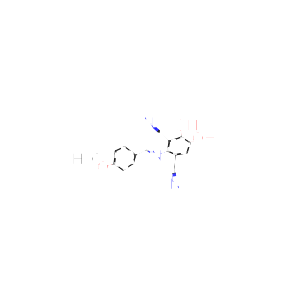 COc1ccc(C=Nc2c(C#N)cc(O)c(O)c2C#N)cc1